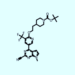 Cn1ccc2c(-c3cnc(OCCC4CCN(C(=O)OC(C)(C)C)CC4)c(C(F)(F)F)c3)nc(C#N)nc21